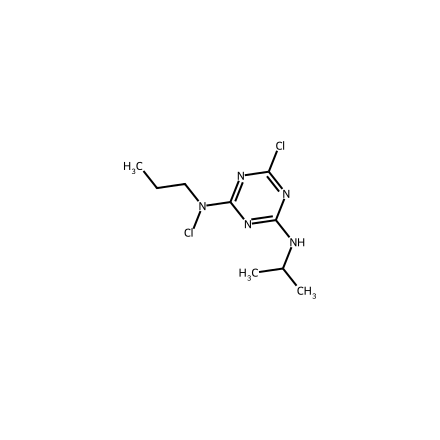 CCCN(Cl)c1nc(Cl)nc(NC(C)C)n1